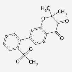 CC1(C)Oc2cc(-c3ccccc3S(C)(=O)=O)ccc2C(=O)C1=O